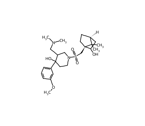 COc1cccc(C2(O)CCN(S(=O)(=O)C[C@]34CC[C@@H](CC3O)C4(C)C)CC2CN(C)C)c1